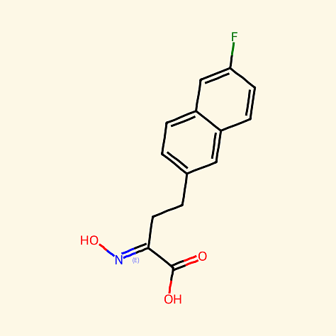 O=C(O)/C(CCc1ccc2cc(F)ccc2c1)=N/O